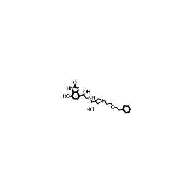 Cl.O=c1[nH]c2c(O)ccc([C@@H](O)CNCC3CN(CCCOCCc4ccccc4)C3)c2s1